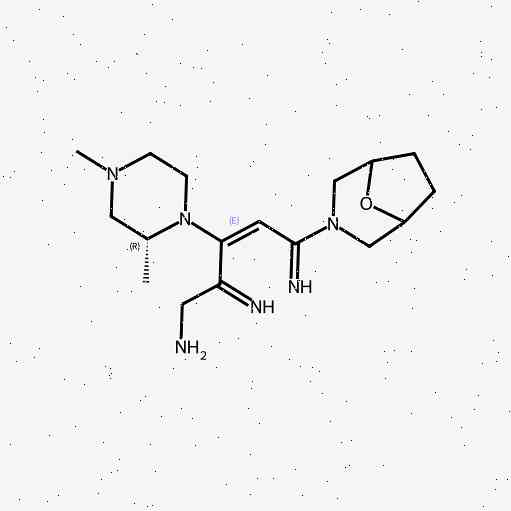 C[C@@H]1CN(C)CCN1/C(=C/C(=N)N1CC2CCC(C1)O2)C(=N)CN